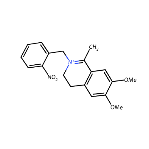 COc1cc2c(cc1OC)C(C)=[N+](Cc1ccccc1[N+](=O)[O-])CC2